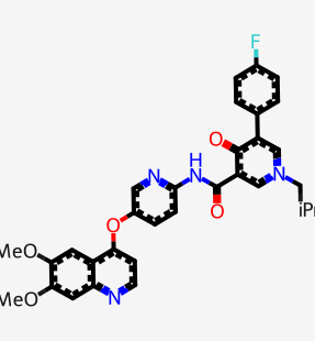 COc1cc2nccc(Oc3ccc(NC(=O)c4cn(CC(C)C)cc(-c5ccc(F)cc5)c4=O)nc3)c2cc1OC